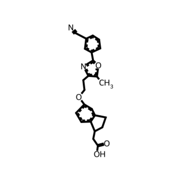 Cc1oc(-c2cccc(C#N)c2)nc1CCOc1ccc2c(c1)CCC2CC(=O)O